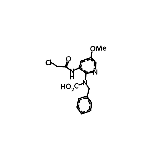 COc1cnc(N(Cc2ccccc2)C(=O)O)c(NC(=O)CCl)c1